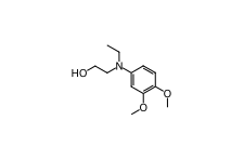 CCN(CCO)c1ccc(OC)c(OC)c1